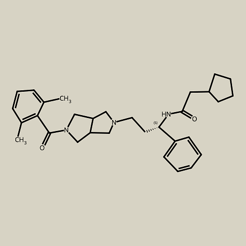 Cc1cccc(C)c1C(=O)N1CC2CN(CC[C@H](NC(=O)CC3CCCC3)c3ccccc3)CC2C1